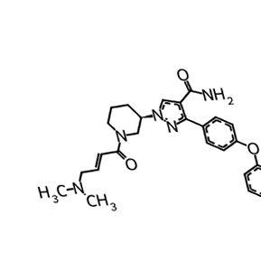 CN(C)C/C=C/C(=O)N1CCC[C@@H](n2cc(C(N)=O)c(-c3ccc(Oc4ccccc4)cc3)n2)C1